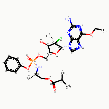 CCOc1nc(N)nc2c1ncn2[C@@H]1O[C@H](CO[P@@](=O)(N[C@@H](C)COC(=O)C(C)C)Oc2ccccc2)[C@@H](O)[C@@]1(C)Cl